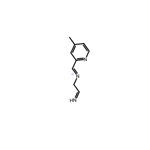 Cc1ccnc(/C=N/CC=N)c1